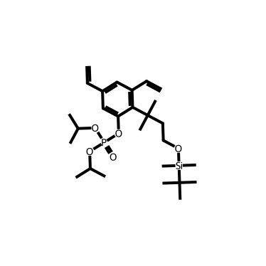 C=Cc1cc(C=C)c(C(C)(C)CCO[Si](C)(C)C(C)(C)C)c(OP(=O)(OC(C)C)OC(C)C)c1